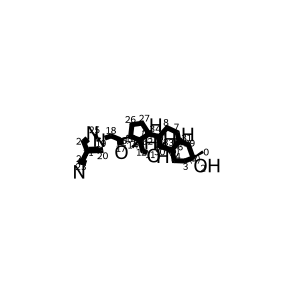 C[C@@]1(O)CC[C@H]2[C@H](CC[C@@H]3[C@@H]2OC[C@]2(C)[C@@H](C(=O)Cn4cc(C#N)cn4)CC[C@@H]32)C1